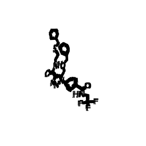 O=C(NCC(F)(F)F)c1ccc(-n2nnc(C(=O)NCCSCc3ccccc3)c2COCc2ccccc2)cc1